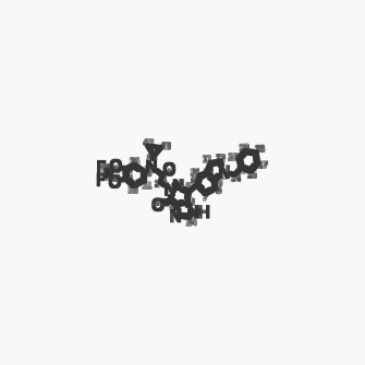 O=C(Cn1nc(-c2ccc3c(ccn3Cc3ccccc3)c2)c2[nH]cnc2c1=O)N(c1ccc2c(c1)OC(F)(F)O2)C1CC1